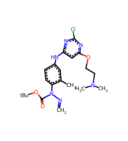 C=NN(C(=O)OC(C)(C)C)c1ccc(Nc2cc(OCCN(C)C)nc(Cl)n2)cc1C